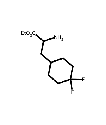 CCOC(=O)C(N)CC1CCC(F)(F)CC1